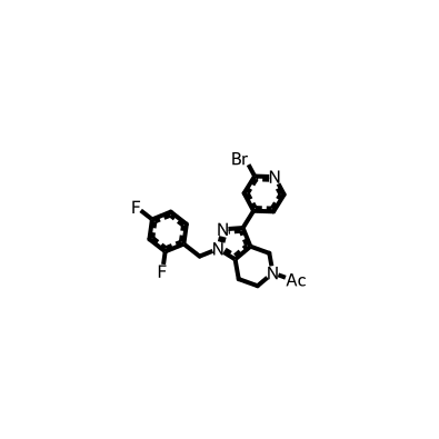 CC(=O)N1CCc2c(c(-c3ccnc(Br)c3)nn2Cc2ccc(F)cc2F)C1